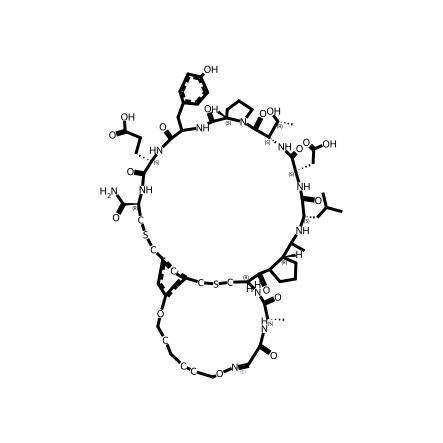 CC(C)C[C@@H]1NC(C)[C@@H]2CCCC2C(=O)[C@@H]2CSCc3cc(cc(c3)OCCCCCCO/N=C/C(=O)N[C@@H](C)C(=O)N2)CSC[C@@H](C(N)=O)NC(=O)[C@H](CCC(=O)O)NC(=O)C(Cc2ccc(O)cc2)NC(=O)[C@@H]2CCCN2C(=O)[C@H]([C@@H](C)O)NC(=O)[C@H](CC(=O)O)NC1=O